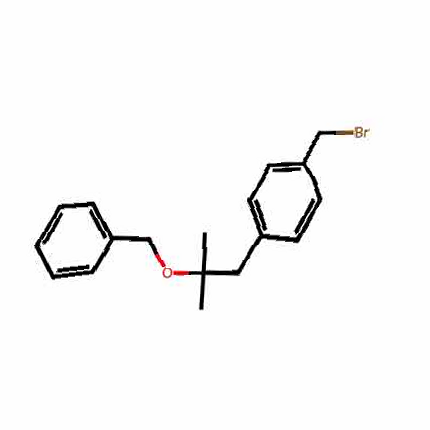 CC(C)(Cc1ccc(CBr)cc1)OCc1ccccc1